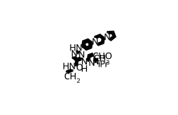 C=CCNC(=O)c1cnc(Nc2ccc(N3CCC(N4CCCC4)CC3)cc2)nc1NC(/C=C\C=O)=N/N(C)C(C)C